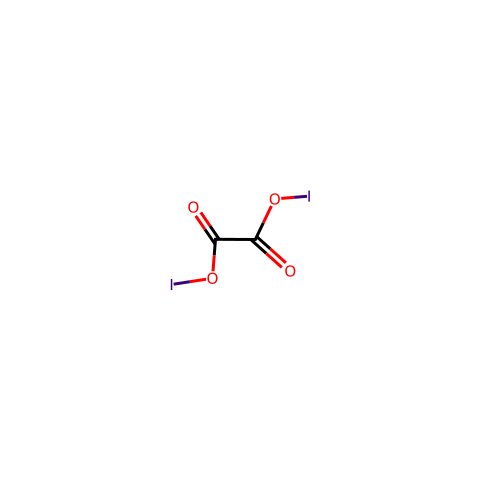 O=C(OI)C(=O)OI